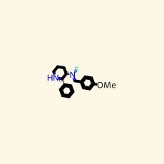 COc1ccc(CN(F)[C@H]2CCCN[C@H]2c2ccccc2)cc1